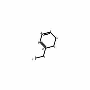 ICC1=CC=CCC1